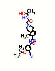 Cc1c(-c2noc(-c3ccc(OC(C)C)c(C#N)c3)n2)ccc2c1CCN(CC(=O)NC[C@H](C)O)CC2